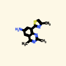 Cc1csc(-c2cc(N)cc3c(C)nc(C)nc23)n1